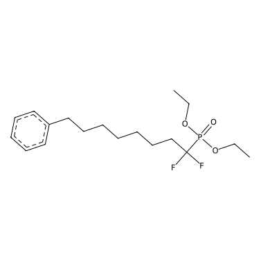 CCOP(=O)(OCC)C(F)(F)CCCCCCCc1ccccc1